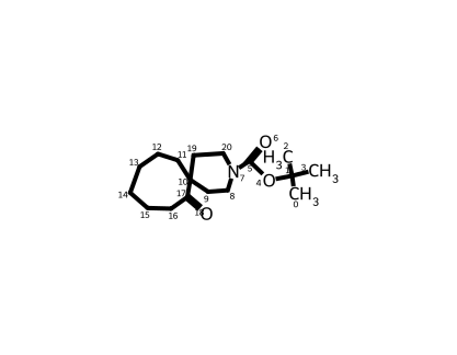 CC(C)(C)OC(=O)N1CCC2(CCCCCCC2=O)CC1